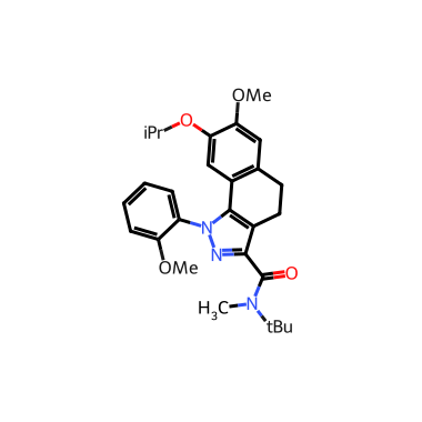 COc1cc2c(cc1OC(C)C)-c1c(c(C(=O)N(C)C(C)(C)C)nn1-c1ccccc1OC)CC2